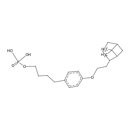 CC1(C)C2CCC(CCOc3ccc(CCCCOP(=O)(O)O)cc3)C1C2